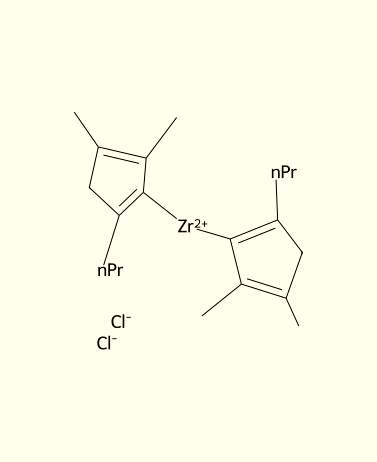 CCCC1=[C]([Zr+2][C]2=C(CCC)CC(C)=C2C)C(C)=C(C)C1.[Cl-].[Cl-]